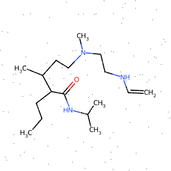 C=CNCCN(C)CCC(C)C(CCC)C(=O)NC(C)C